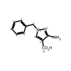 Nc1nn(Cc2ccccc2)cc1C(=O)O